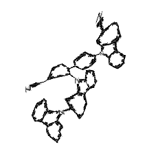 N#Cc1ccc(-c2ccc(-n3c4ccccc4c4ccc(C#N)cc43)cc2)c(-n2c3ccccc3c3ccc(-n4c5ccccc5c5ccccc54)cc32)c1